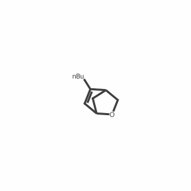 CCCCC1=CC2CC1CO2